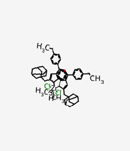 CCc1ccc(-c2cccc3c2C=C(CC24CC5CC(CC(C5)C2)C4)[CH]3[Zr]([Cl])([Cl])([CH]2C(CC34CC5CC(CC(C5)C3)C4)=Cc3c(-c4ccc(CC)cc4)cccc32)[SiH](C)C)cc1